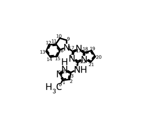 Cc1cc(Nc2nc(N3CCc4ccccc43)nc3cccn23)[nH]n1